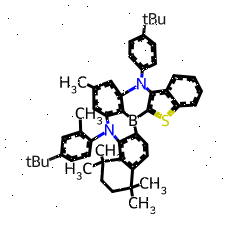 Cc1cc2c3c(c1)N(c1ccc(C(C)(C)C)cc1)c1c(sc4ccccc14)B3c1ccc3c(c1N2c1ccc(C(C)(C)C)cc1C)C(C)(C)CCC3(C)C